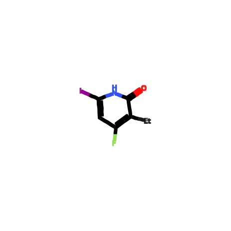 CCc1c(F)cc(I)[nH]c1=O